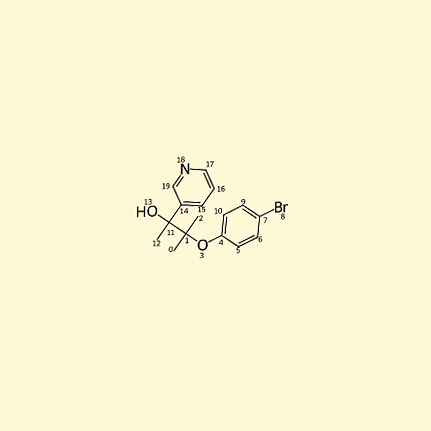 CC(C)(Oc1ccc(Br)cc1)C(C)(O)c1cccnc1